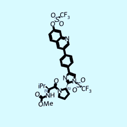 COC(=O)N[C@H](C(=O)N1CCC[C@H]1c1nc(-c2ccc(-c3cnc4cc(OS(=O)(=O)C(F)(F)F)ccc4c3)cc2)cn1S(=O)(=O)C(F)(F)F)C(C)C